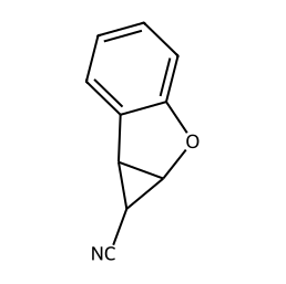 N#CC1C2Oc3ccccc3C12